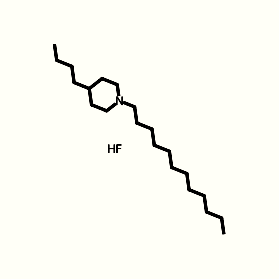 CCCCCCCCCCCCN1CCC(CCCC)CC1.F